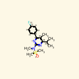 C=S(C)(=O)N(C)c1nc(-c2ccc(F)cc2)c(C)c(C(C)C)n1